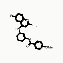 COc1ccc(C(=O)NC2=C[C@H](Nc3cc(C(F)(F)F)nc4ccc(F)cc34)CCC2)cc1